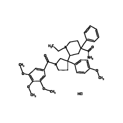 CCN1CCC(C(N)=O)(c2ccccc2)CC1C1(c2ccc(OC)cc2)CCN(C(=O)c2cc(OC)c(OC)c(OC)c2)C1.Cl